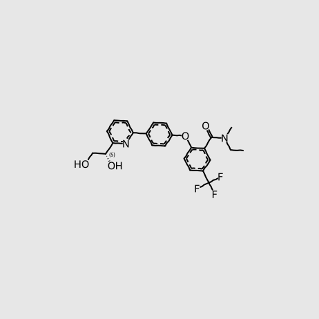 CCN(C)C(=O)c1cc(C(F)(F)F)ccc1Oc1ccc(-c2cccc([C@H](O)CO)n2)cc1